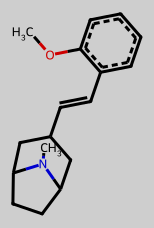 COc1ccccc1C=CC1CC2CCC(C1)N2C